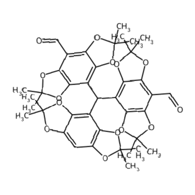 CC1(C)Oc2cc3c(c(C(c4c5c(c(C=O)c6c4OC(C)(C)O6)OC(C)(C)O5)c4c5c(c(C=O)c6c4OC(C)(C)O6)OC(C)(C)O5)c2O1)OC(C)(C)O3